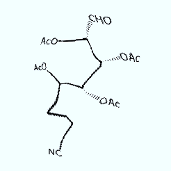 CC(=O)OC(CCC#N)[C@@H](OC(C)=O)[C@@H](OC(C)=O)[C@@H](C=O)OC(C)=O